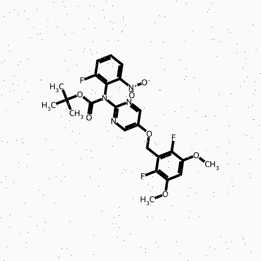 COc1cc(OC)c(F)c(COc2cnc(N(C(=O)OC(C)(C)C)c3c(F)cccc3[N+](=O)[O-])nc2)c1F